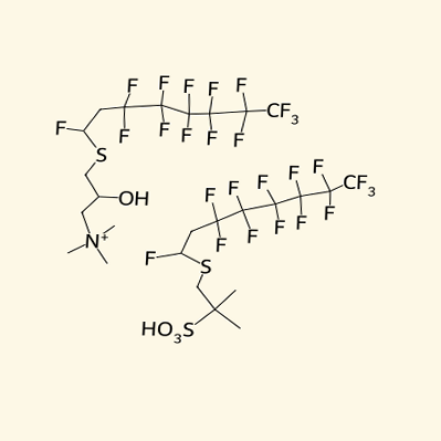 CC(C)(CSC(F)CC(F)(F)C(F)(F)C(F)(F)C(F)(F)C(F)(F)C(F)(F)F)S(=O)(=O)O.C[N+](C)(C)CC(O)CSC(F)CC(F)(F)C(F)(F)C(F)(F)C(F)(F)C(F)(F)C(F)(F)F